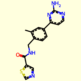 Cc1cc(-c2ccnc(N)n2)ccc1CNC(=O)c1cncs1